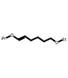 CCOCCCCC=COC(C)C